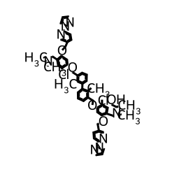 Cc1c(COc2cc(OCc3ccc(-n4cccn4)nc3)c(CN(C)C)cc2Cl)cccc1-c1cccc(COc2cc(OCc3ccc(-n4cccn4)nc3)c(CN(C)C(C)CO)cc2Cl)c1C